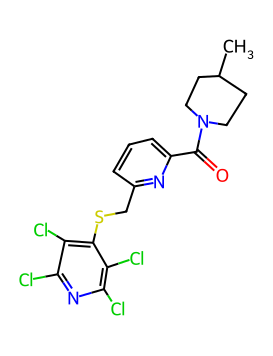 CC1CCN(C(=O)c2cccc(CSc3c(Cl)c(Cl)nc(Cl)c3Cl)n2)CC1